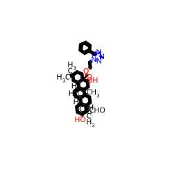 CC1(C)CC[C@]2(C(=O)OCCn3nnnc3-c3ccccc3)[C@H](O)C[C@]3(C)C(=CC[C@@H]4[C@@]5(C)CC[C@H](O)[C@@](C)(C=O)[C@@H]5CC[C@]43C)[C@@H]2C1